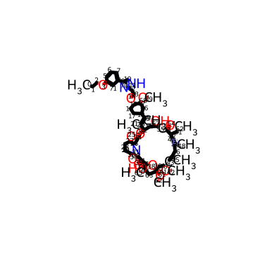 CCCOc1cccc(-c2c[nH]c(COC3CCC(C=C(C)C4OC(=O)C5CCCCN5C(=O)C(=O)C5(O)OC(C(OC)CC(C)C/C(C)=C/C(CC)C(=O)CC(O)C4C)C(OC)CC5C)CC3OC)n2)c1